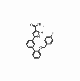 NC(=O)c1cc(-c2cccc(-c3ccccc3OCc3ccc(F)cc3)c2)n[nH]1